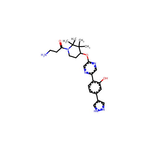 CC1(C)C(Oc2cnc(-c3ccc(-c4cn[nH]c4)cc3O)cn2)CCN(C(=O)CCN)C1(C)C